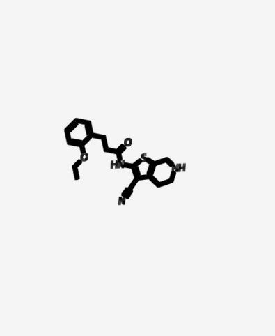 CCOc1ccccc1CCC(=O)Nc1sc2c(c1C#N)CCNC2